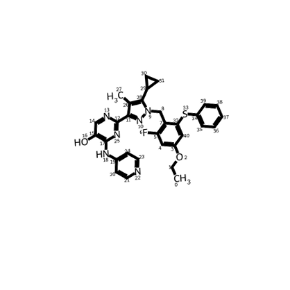 CCOc1cc(F)c(Cn2nc(-c3ncc(O)c(Nc4ccncc4)n3)c(C)c2C2CC2)c(Sc2ccccc2)c1